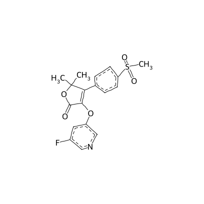 CC1(C)OC(=O)C(Oc2cncc(F)c2)=C1c1ccc(S(C)(=O)=O)cc1